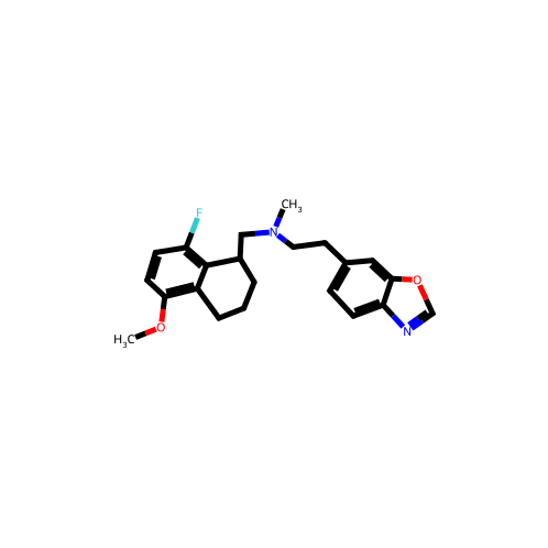 COc1ccc(F)c2c1CCCC2CN(C)CCc1ccc2ncoc2c1